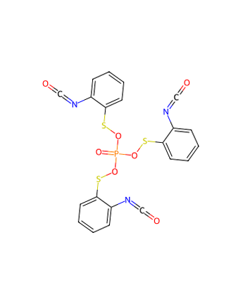 O=C=Nc1ccccc1SOP(=O)(OSc1ccccc1N=C=O)OSc1ccccc1N=C=O